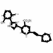 CCOC(=O)c1cc(C#Cc2ccccc2)ncc1-c1c[nH]c(-c2c(F)cccc2Cl)n1